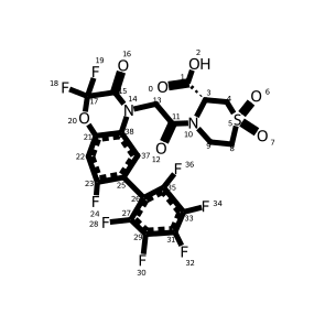 O=C(O)[C@@H]1CS(=O)(=O)CCN1C(=O)CN1C(=O)C(F)(F)Oc2cc(F)c(-c3c(F)c(F)c(F)c(F)c3F)cc21